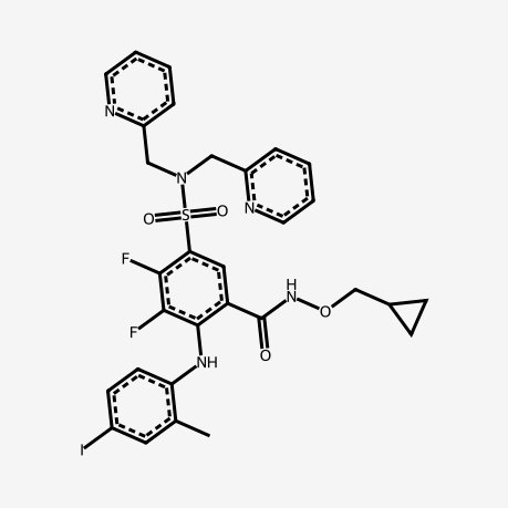 Cc1cc(I)ccc1Nc1c(C(=O)NOCC2CC2)cc(S(=O)(=O)N(Cc2ccccn2)Cc2ccccn2)c(F)c1F